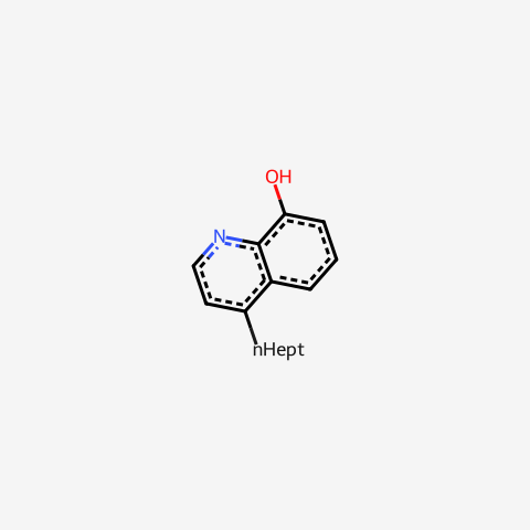 CCCCCCCc1ccnc2c(O)cccc12